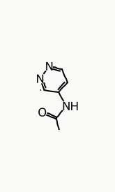 CC(=O)Nc1[c]nncc1